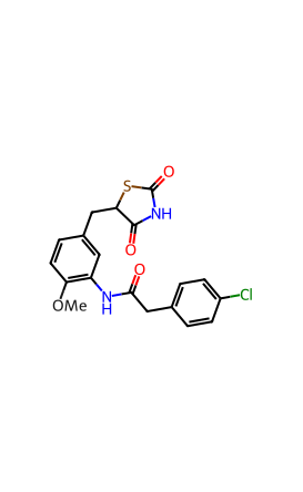 COc1ccc(CC2SC(=O)NC2=O)cc1NC(=O)Cc1ccc(Cl)cc1